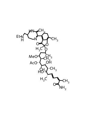 C=C1NCC(CNCC)CCN=C1C1=C2C(=O)[C@@](C)(OC(C)C[C@H](OC)[C@@H](C)[C@@H](OC(C)=O)[C@H](C)[C@H](O)[C@H](C)[C@@H](O)[C@@H](C)/C=C/C=C(/C)C(N)=O)OC2=C(C)CC1